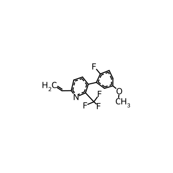 C=Cc1ccc(-c2cc(OC)ccc2F)c(C(F)(F)F)n1